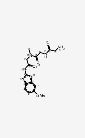 CSc1ccc2nc(NC(=O)CN(C)C(=O)CNC(=O)CN)sc2c1